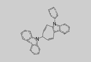 C1=CC(n2c3ccccc3c3ccccc32)C=Cc2c1c1ccccc1n2-c1ccccc1